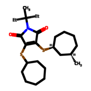 CCC(C)(CC)N1C(=O)C(SC2CCCCCC2)=C(S[C@H]2CCCC[C@H](C)C2)C1=O